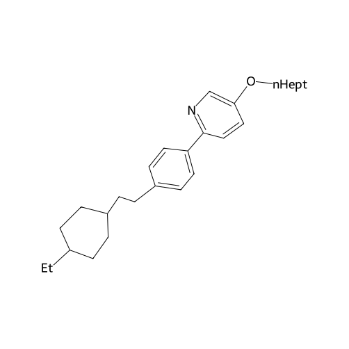 CCCCCCCOc1ccc(-c2ccc(CCC3CCC(CC)CC3)cc2)nc1